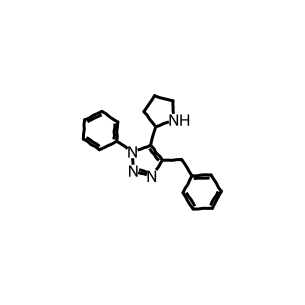 c1ccc(Cc2nnn(-c3ccccc3)c2C2CCCN2)cc1